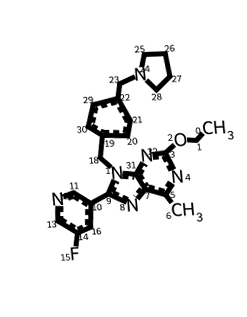 CCOc1nc(C)c2nc(-c3cncc(F)c3)n(Cc3ccc(CN4CCCC4)cc3)c2n1